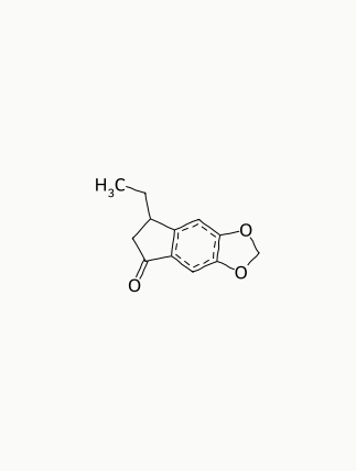 CCC1CC(=O)c2cc3c(cc21)OCO3